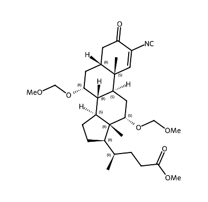 [C-]#[N+]C1=C[C@@]2(C)[C@@H](CC1=O)C[C@@H](OCOC)[C@@H]1[C@@H]2C[C@H](OCOC)[C@]2(C)[C@@H]([C@H](C)CCC(=O)OC)CC[C@@H]12